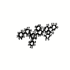 CC1(c2ccccc2)c2ccccc2-c2ccc(-c3ccc(-c4cc(-c5cccc(-c6cccnc6)c5)nc(-c5ccccc5)n4)c4ccccc34)cc21